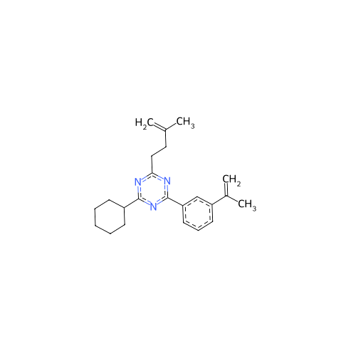 C=C(C)CCc1nc(-c2cccc(C(=C)C)c2)nc(C2CCCCC2)n1